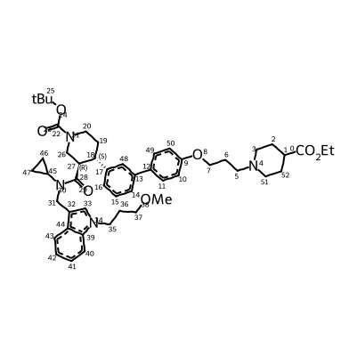 CCOC(=O)C1CCN(CCCOc2ccc(-c3cccc([C@H]4CCN(C(=O)OC(C)(C)C)C[C@@H]4C(=O)N(Cc4cn(CCCOC)c5ccccc45)C4CC4)c3)cc2)CC1